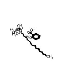 CCCCCCCCCCCCCCCCO[N+](CC)(OC)OC.O=C([O-])c1ccccc1O